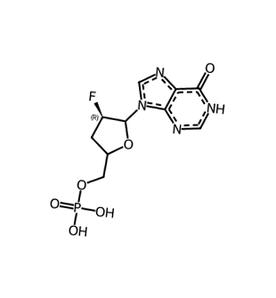 O=c1[nH]cnc2c1ncn2C1OC(COP(=O)(O)O)C[C@H]1F